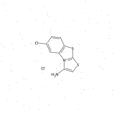 Nc1csc2sc3ccc(Cl)cc3[n+]12.[Cl-]